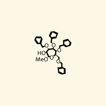 CO[C@H]1O[C@H](COCc2ccccc2)[C@@H](OCc2ccccc2)[C@H](OCc2ccccc2)[C@@H](OCc2ccccc2)[C@@H]1O